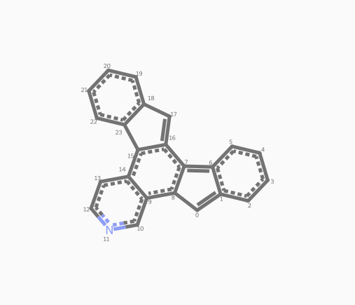 C1=c2ccccc2=c2c1c1cnccc1c1c2=Cc2ccccc2-1